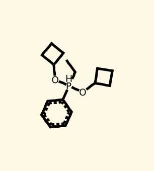 CC[PH](OC1CCC1)(OC1CCC1)c1ccccc1